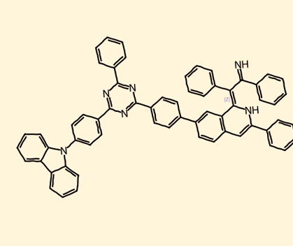 N=C(/C(=C1\NC(c2ccccc2)=Cc2ccc(-c3ccc(-c4nc(-c5ccccc5)nc(-c5ccc(-n6c7ccccc7c7ccccc76)cc5)n4)cc3)cc21)c1ccccc1)c1ccccc1